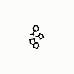 C/[C](c1ccccc1)=[Zr](/[C]1=CC=CC1)[CH]1C=Cc2ccccc21